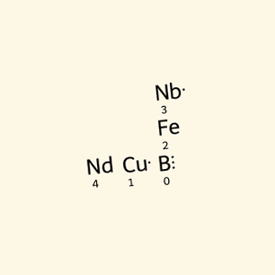 [B].[Cu].[Fe].[Nb].[Nd]